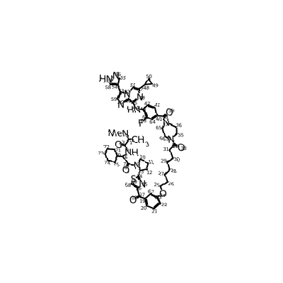 CN[C@@H](C)C(=O)NC(C(=O)N1CCC[C@H]1c1nc(C(=O)c2cccc(OCCCCCCCC(=O)N3CCN(C(=O)c4ccc(Nc5nc(C6CC6)cn6c(-c7cn[nH]c7)cnc56)c(F)c4)CC3)c2)cs1)C1CCCCC1